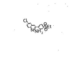 CCS(=O)(=O)c1ccc(-c2cc3cc(Cl)ccc3nc2N)cc1